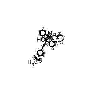 CS(=O)(=O)c1ccc(C#CC(O)(c2ccccc2N(CC2CCCCO2)S(=O)(=O)c2ccccc2)C(F)(F)F)cc1